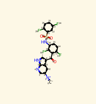 [C-]#[N+]c1cnc2[nH]cc(C(=O)c3c(F)ccc(NS(=O)(=O)c4cc(F)ccc4F)c3F)c2c1